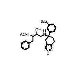 CC(=O)NC(Cc1ccccc1)C(O)CNC1(c2cccc(C(C)(C)C)c2)CCc2n[nH]cc2C1